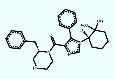 CC[C@]1(n2cnc(C(=O)N3CCNC[C@H]3Cc3ccccc3)c2-c2ccccc2)CCCCC1(O)OC(C)=O